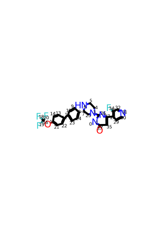 Cn1c(N2CCN[C@@H](c3ccc(-c4ccc(OC(F)(F)F)cc4)cc3)C2)nc(-c2ccncc2F)cc1=O